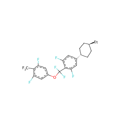 CC[C@H]1CC[C@H](c2cc(F)c(C(F)(F)Oc3cc(F)c(C(F)(F)F)c(F)c3)c(F)c2)CC1